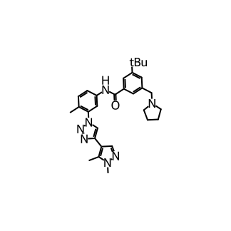 Cc1ccc(NC(=O)c2cc(CN3CCCC3)cc(C(C)(C)C)c2)cc1-n1cc(-c2cnn(C)c2C)nn1